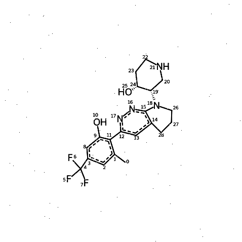 Cc1cc(C(F)(F)F)cc(O)c1-c1cc2c(nn1)N([C@H]1CNCC[C@H]1O)CCC2